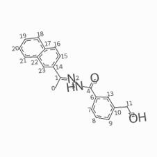 CC(=NNC(=O)c1cccc(CO)c1)c1ccc2ccccc2c1